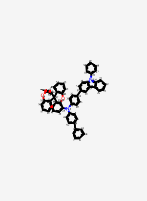 c1ccc(-c2ccc(N(c3ccc(-c4ccc5c(c4)c4ccccc4n5-c4ccccc4)cc3)c3cccc4c3Oc3ccccc3C43c4ccccc4Oc4ccccc43)cc2)cc1